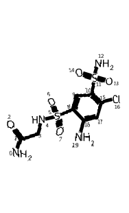 NC(=O)CNS(=O)(=O)c1cc(S(N)(=O)=O)c(Cl)cc1N